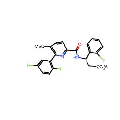 COc1ccc(C(=O)N[C@@H](CC(=O)O)c2ccccc2F)nc1-c1cc(F)ccc1F